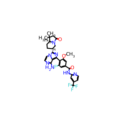 COc1cc(C(=O)Nc2cc(C(F)(F)F)ccn2)cc(F)c1-c1nc([C@@H]2CC[C@@H]3N(C2)C(=O)CC3(C)C)n2ccnc(N)c12